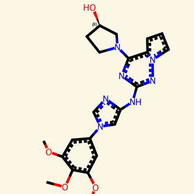 COc1cc(-n2cnc(Nc3nc(N4CC[C@@H](O)C4)c4cccn4n3)c2)cc(OC)c1OC